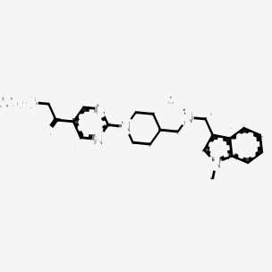 COCC(=O)c1cnc(N2CCC(CN(Cc3cn(C)c4ccccc34)C(C)=O)CC2)nc1